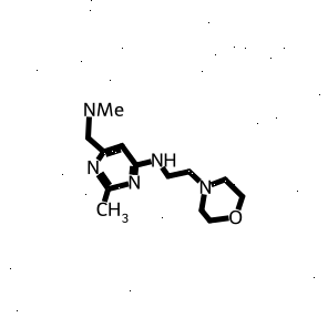 CNCc1cc(NCCN2CCOCC2)nc(C)n1